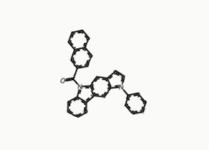 O=C(c1ccc2ccccc2c1)n1c2ccccc2c2cc3c(ccn3-c3ccccc3)cc21